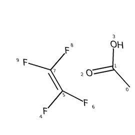 CC(=O)O.FC(F)=C(F)F